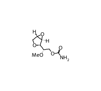 CO[C@@H](COC(N)=O)[C@H]1OC[C@@H]2O[C@@H]12